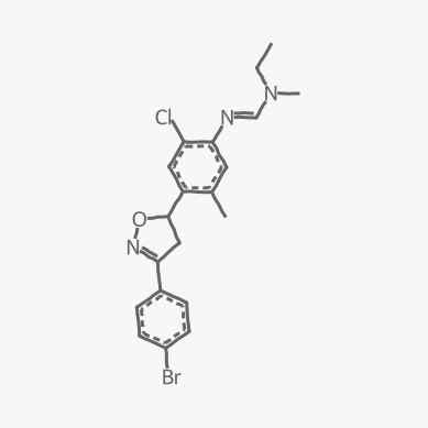 CCN(C)C=Nc1cc(C)c(C2CC(c3ccc(Br)cc3)=NO2)cc1Cl